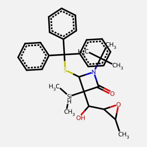 CC1OC1C(O)C1([SiH](C)C)C(=O)N(C(C)(C)C)C1SC(c1ccccc1)(c1ccccc1)c1ccccc1